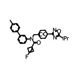 Cc1ccc(-c2cccc(N(CC34CCC(c5noc(C(C)C)n5)(CC3)CC4)C(=O)C34CC(F)(C3)C4)c2)cc1